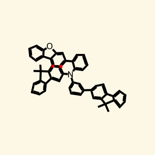 CC1(C)c2ccccc2-c2cc(N(c3cccc(-c4ccc5c(c4)C(C)(C)c4ccccc4-5)c3)c3ccccc3-c3ccc4c(c3)oc3ccccc34)ccc21